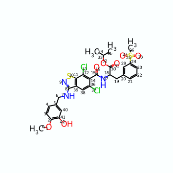 COc1ccc(CNc2nsc3c(Cl)c(C(=O)NC(Cc4cccc(S(C)(=O)=O)c4)C(=O)OC(C)C)c(Cl)cc23)cc1O